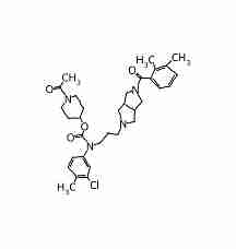 CC(=O)N1CCC(OC(=O)N(CCCN2CC3CN(C(=O)c4cccc(C)c4C)CC3C2)c2ccc(C)c(Cl)c2)CC1